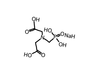 O=C(O)CN(CC(=O)O)CP(=O)(O)O.[NaH]